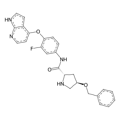 O=C(Nc1ccc(Oc2ccnc3[nH]ccc23)c(F)c1)[C@@H]1C[C@@H](OCc2ccccc2)CN1